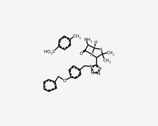 CC1(C)S[C@H]2C(N)C(=O)N2C1c1nnnn1Cc1ccc(OCc2ccccc2)cc1.Cc1ccc(S(=O)(=O)O)cc1